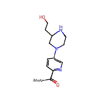 CNC(=O)c1ccc(N2CCNC(CCO)C2)cn1